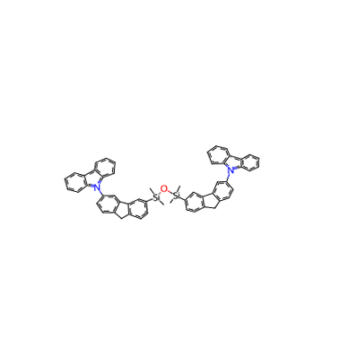 C[Si](C)(O[Si](C)(C)c1ccc2c(c1)-c1cc(-n3c4ccccc4c4ccccc43)ccc1C2)c1ccc2c(c1)-c1cc(-n3c4ccccc4c4ccccc43)ccc1C2